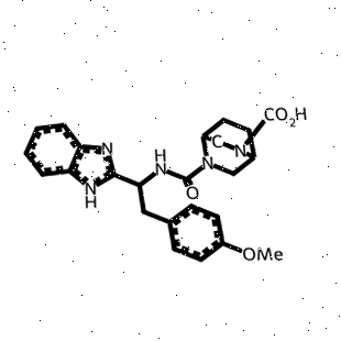 COc1ccc(CC(NC(=O)N2CC3CCC2CN3C(=O)O)c2nc3ccccc3[nH]2)cc1